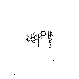 CCCCN1C(=O)C(=C(N)N)C(=O)N(CC2CCC(c3nnc(C)n3COCC[Si](C)(C)C)CC2)C1=O